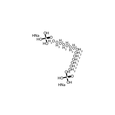 O.O.O.O.O.O.O.O.O.O.O.O.O.O.O=P(O)(O)O.O=P(O)(O)O.[NaH].[NaH]